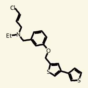 CCN(CC=CCl)Cc1cccc(OCc2cc(-c3ccsc3)cs2)c1